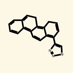 C1=CC(C2=C[N]N=N2)=c2ccc3c(c2C1)CC=c1ccccc1=3